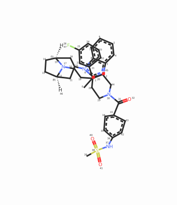 Cc1nc2ccccc2n1C1C[C@H]2CC[C@@H](C1)N2CCC1(c2cccc(F)c2)CCN(C(=O)c2ccc(NS(C)(=O)=O)cc2)CC1